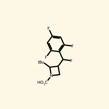 CC(C)(C)C1C(C(F)c2c(F)cc(F)cc2F)CN1C(=O)O